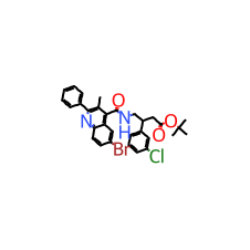 Cc1c(-c2ccccc2)nc2ccc(Br)cc2c1C(=O)NCC(CC(=O)OC(C)(C)C)c1cccc(Cl)c1